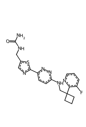 NC(=O)NCc1cnc(-c2ccc(NCC3(c4ncccc4F)CCC3)nn2)s1